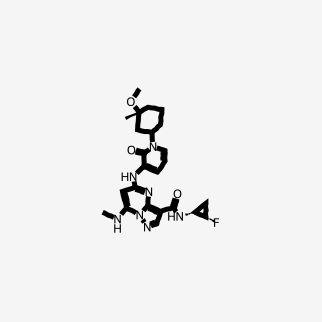 CNc1cc(Nc2cccn(C3CCC[C@@](C)(OC)C3)c2=O)nc2c(C(=O)N[C@@H]3C[C@@H]3F)cnn12